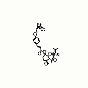 CCN(CC)CCOc1ccc(/C=C/C(=O)O[C@@H]2CCC3(CO3)[C@@H](C3(C)OC3CC=C(C)C)[C@@H]2OC)cc1